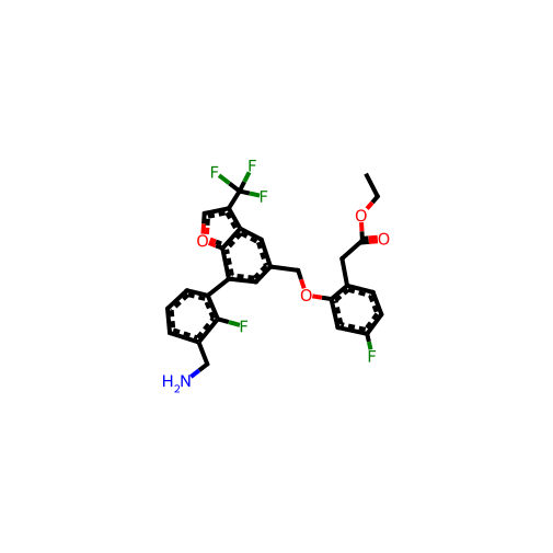 CCOC(=O)Cc1ccc(F)cc1OCc1cc(-c2cccc(CN)c2F)c2occ(C(F)(F)F)c2c1